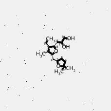 CC[C@@H]1[C@@H](C)[C@@H](C[C@H]2CCC(C)(C)O2)O[C@H]1CC(O)CO